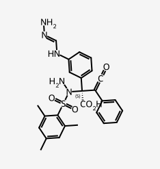 Cc1cc(C)c(S(=O)(=O)N(N)[C@](C(=O)O)(C(=C=O)c2ccccc2)c2cccc(NC=NN)c2)c(C)c1